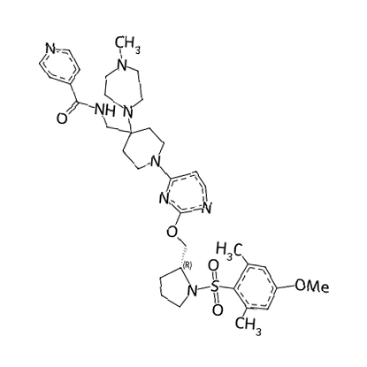 COc1cc(C)c(S(=O)(=O)N2CCC[C@@H]2COc2nccc(N3CCC(CNC(=O)c4ccncc4)(N4CCN(C)CC4)CC3)n2)c(C)c1